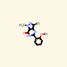 CCOc1ccccc1-c1nc2c(CC)nn(C)c2c(=O)[nH]1